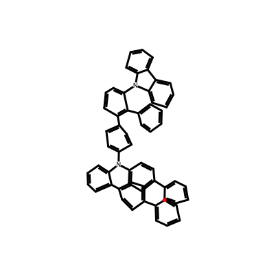 c1ccc(-c2ccc(-c3ccccc3N(c3ccc(-c4ccccc4)cc3)c3ccc(-c4cccc(-n5c6ccccc6c6ccccc65)c4-c4ccccc4)cc3)cc2)cc1